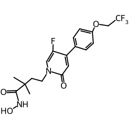 CC(C)(CCn1cc(F)c(-c2ccc(OCC(F)(F)F)cc2)cc1=O)C(=O)NO